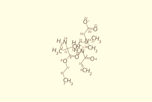 C=CC(N)=O.CCCOC(=O)C(C)(C)N.C[N+](C)(C)CC(=O)[O-]